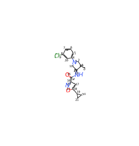 C[C@@H]1CN(c2cccc(Cl)c2)C[C@@H]1NC(=O)c1cc(C2CC2)on1